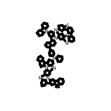 CC1(C)c2ccccc2-c2cc3c(cc21)c1ccccc1n3-c1cc(C#N)c(-n2c3ccc(N(c4ccccc4)c4ccc(-c5cccc6c5ccc5c6c6cc(-n7c8ccccc8c8ccccc87)ccc6n5-c5cc(C#N)c(-n6c7ccccc7c7ccc8sc9ccccc9c8c76)cc5C#N)cc4)cc3c3c4ccccc4ccc32)cc1C#N